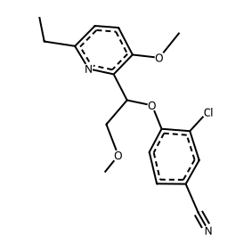 CCc1ccc(OC)c(C(COC)Oc2ccc(C#N)cc2Cl)n1